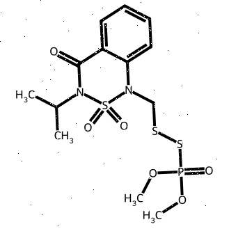 COP(=O)(OC)SSCN1c2ccccc2C(=O)N(C(C)C)S1(=O)=O